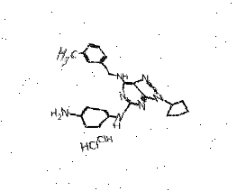 Cc1cccc(CNc2nc(NC3CCC(N)CC3)nc3c2ncn3C2CCCC2)c1.Cl.Cl